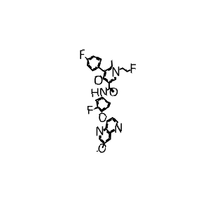 COc1cnc2c(Oc3ccc(NC(=O)c4cn(CCF)c(C)c(-c5ccc(F)cc5)c4=O)cc3F)ccnc2c1